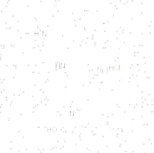 CC(N)CNC1CCCN(C(=O)O)C1.Cl.Cl